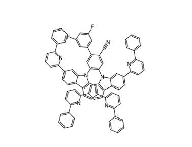 N#Cc1cc(-n2c3cc(-c4cccc(-c5ccccc5)n4)ccc3c3ccc(-c4cccc(-c5ccccc5)n4)cc32)c(-n2c3cc(-c4cccc(-c5ccccc5)n4)ccc3c3ccc(-c4cccc(-c5ccccc5)n4)cc32)cc1-c1cc(F)cc(F)c1